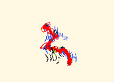 Cc1c(Nc2nc3ccccc3s2)nnc2c1CCCN2c1nc(C(=O)O)c(CCCOc2ccc(C#CCN3CCN(C(=O)OCc4ccc(NC(=O)[C@H](CCCNC(N)=O)NC(=O)[C@@H](NC(=O)CCOCCN5C(=O)C=CC5=O)C(C)C)cc4)CC3)cc2F)s1